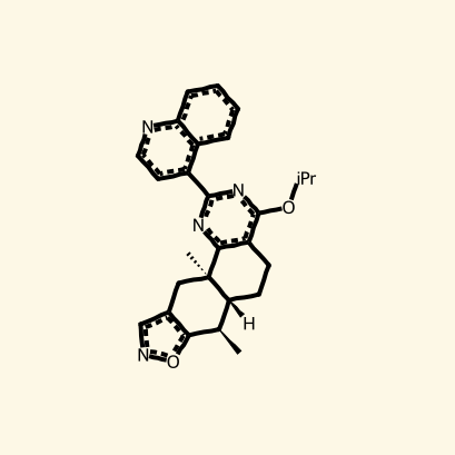 CC(C)Oc1nc(-c2ccnc3ccccc23)nc2c1CC[C@@H]1[C@@H](C)c3oncc3C[C@@]21C